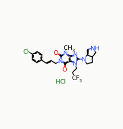 Cl.Cn1c(=O)n(CC=Cc2ccc(Cl)cc2)c(=O)c2c1nc(N1CCC3CNC=C31)n2CCC(F)(F)F